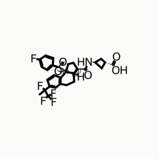 CC(F)(c1ccc2c(c1)CC[C@H]1[C@H](C(=O)N[C@H]3C[C@@H](C(=O)O)C3)CC[C@@]21S(=O)(=O)c1ccc(F)cc1)C(F)(F)F